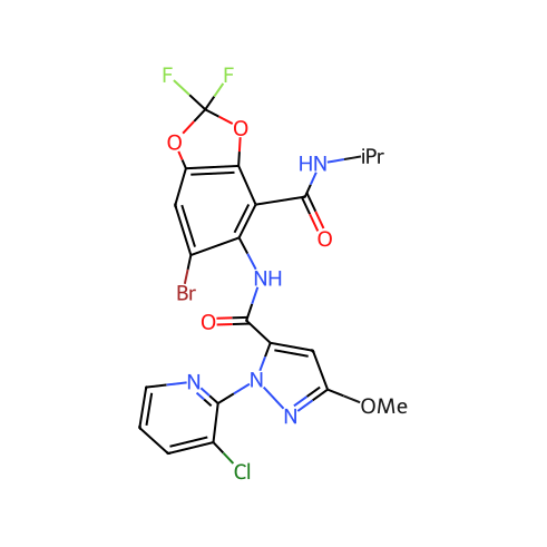 COc1cc(C(=O)Nc2c(Br)cc3c(c2C(=O)NC(C)C)OC(F)(F)O3)n(-c2ncccc2Cl)n1